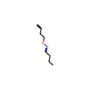 C=CCCO/N=[C]/CCC